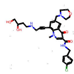 Cn1cc(C(=O)NCc2ccc(Cl)cc2)c(=O)c2cc(CN3CCOCC3)cc(C#CCNCCC(O)CO)c21